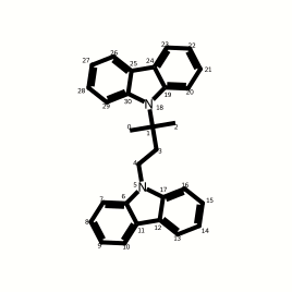 CC(C)(CCn1c2ccccc2c2ccccc21)n1c2ccccc2c2ccccc21